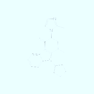 Cc1nccn1C1CC(C)c2c(c3ccccc3n2C2CCCC2)C1=O